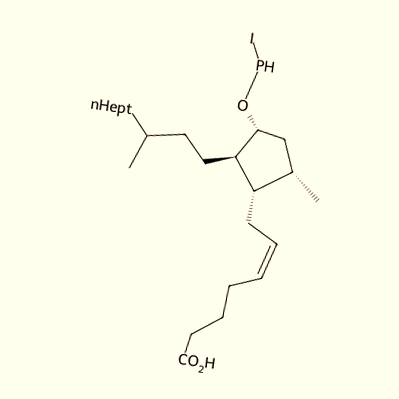 CCCCCCCC(C)CC[C@@H]1[C@@H](C/C=C\CCCC(=O)O)[C@@H](C)C[C@H]1OPI